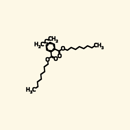 C=C=C.CCCCCCCCOC(=O)c1ccccc1C(=O)OCCCCCCCC